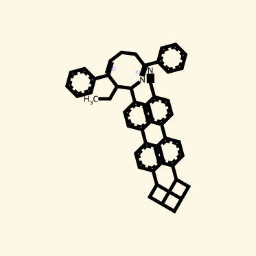 CCC1/C(c2ccccc2)=C\CC/C(c2ccccc2)=N\C1c1ccc(-c2ccc(C3CC4CC5CC(c6ccc(-c7ccc(C#N)cc7)cc6)C543)cc2)cc1